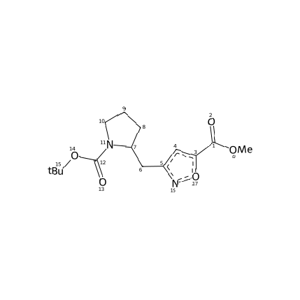 COC(=O)c1cc(CC2CCCN2C(=O)OC(C)(C)C)no1